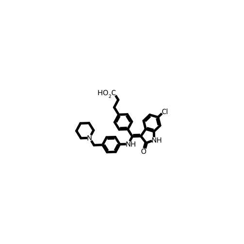 O=C(O)CCc1ccc(/C(Nc2ccc(CN3CCCCC3)cc2)=C2/C(=O)Nc3cc(Cl)ccc32)cc1